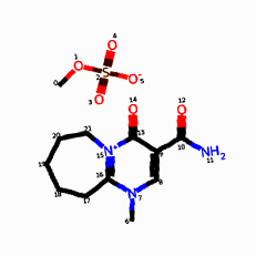 COS(=O)(=O)[O-].Cn1cc(C(N)=O)c(=O)[n+]2c1CCCCC2